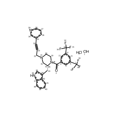 Cl.Cl.O=C(c1cc(C(F)(F)F)cc(C(F)(F)F)c1)N1CCN(CC#Cc2cccnc2)C[C@H]1Cc1c[nH]c2ccccc12